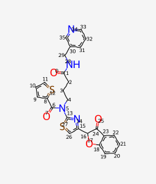 O=C(CCCN(C(=O)c1cccs1)c1nc(C2Oc3ccccc3C2=O)cs1)NCc1cccnc1